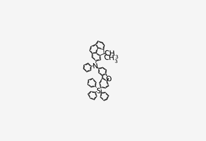 CC1(C)c2cccc3ccc4cc(N(c5ccccc5)c5ccc6oc7ccc([Si](c8ccccc8)(c8ccccc8)c8ccccc8)cc7c6c5)cc1c4c23